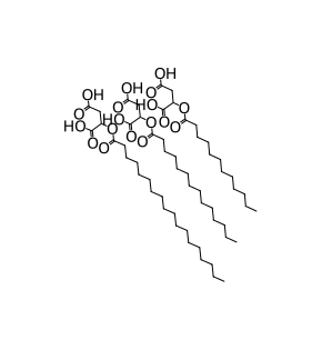 CCCCCCCCCCCC(=O)OC(CC(=O)O)C(=O)O.CCCCCCCCCCCCCC(=O)OC(CC(=O)O)C(=O)O.CCCCCCCCCCCCCCCCCC(=O)OC(CC(=O)O)C(=O)O